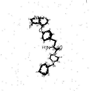 N[C@@H](Cc1ccc(Oc2ccnc3[nH]cc(F)c23)cc1)C(=O)N1CCN(Cc2ccccc2)CC1